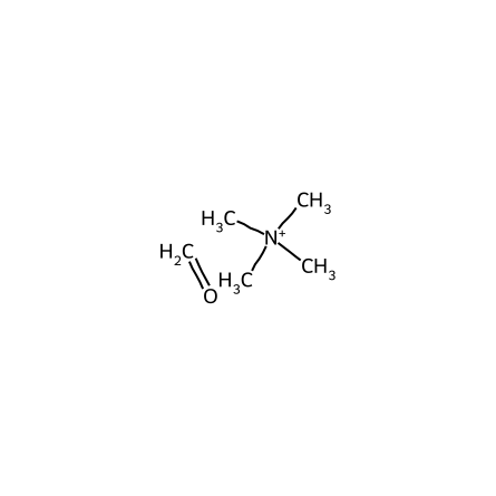 C=O.C[N+](C)(C)C